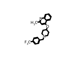 Cc1cc(OC2CCN(Cc3ccc(C(F)(F)F)cc3)CC2)c2ccccc2n1